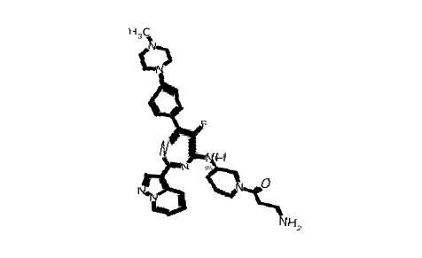 CN1CCN(c2ccc(-c3nc(-c4cnn5ccccc45)nc(N[C@@H]4CCCN(C(=O)CCN)C4)c3F)cc2)CC1